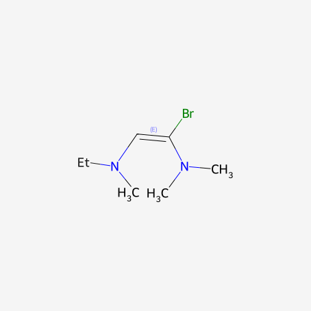 CCN(C)/C=C(/Br)N(C)C